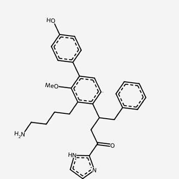 COc1c(-c2ccc(O)cc2)c[c]c(C(CC(=O)c2ncc[nH]2)Cc2ccccc2)c1CCCCN